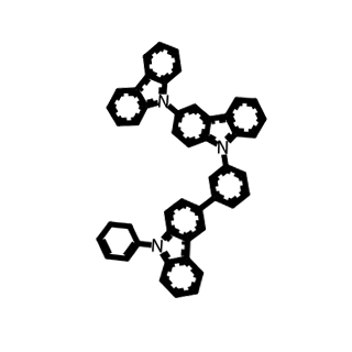 C1=CCCC(n2c3ccccc3c3cc(-c4cccc(-n5c6ccccc6c6cc(-n7c8ccccc8c8ccccc87)ccc65)c4)ccc32)=C1